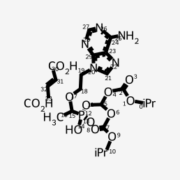 CC(C)OC(=O)OC(OC(=O)OC(C)C)OP(=O)(O)C(C)OCCn1cnc2c(N)ncnc21.O=C(O)C=CC(=O)O